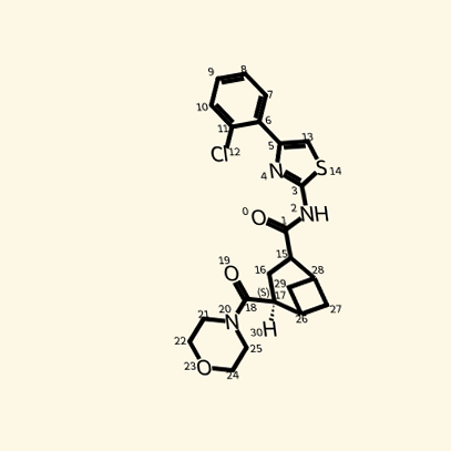 O=C(Nc1nc(-c2ccccc2Cl)cs1)C1C[C@H](C(=O)N2CCOCC2)C2CC1C2